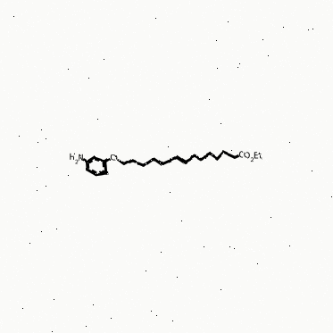 CCOC(=O)CCCCCCCCCCCCCOc1cccc(N)c1